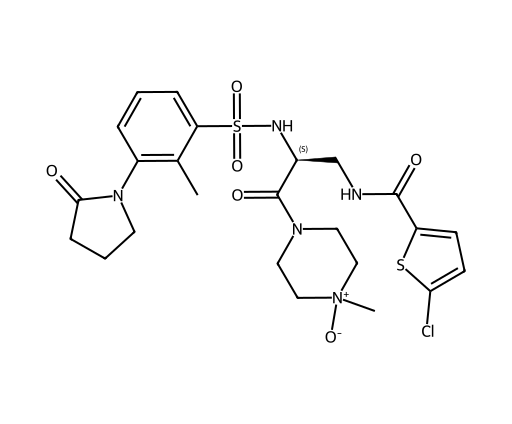 Cc1c(N2CCCC2=O)cccc1S(=O)(=O)N[C@@H](CNC(=O)c1ccc(Cl)s1)C(=O)N1CC[N+](C)([O-])CC1